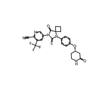 N#Cc1ncc(N2C(=O)C3(CCC3)N(c3ccc(O[C@@H]4CCNC(=O)C4)cc3)C2=S)cc1C(F)(F)F